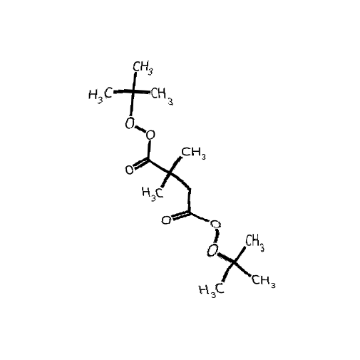 CC(C)(C)OOC(=O)CC(C)(C)C(=O)OOC(C)(C)C